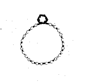 c1ccc2c(c1)OCCOCCOCCOCCOCCOCCOCCOCCO2